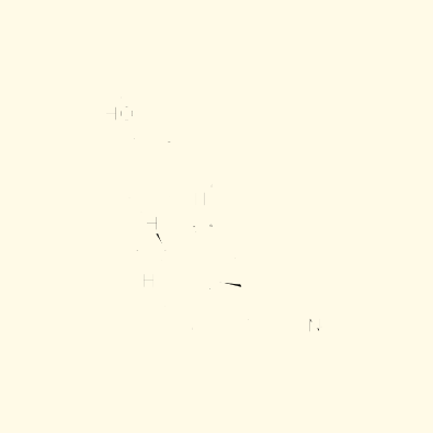 N#CCC[C@@]12CCC[C@H]1[C@@H]1CCc3cc(O)ccc3[C@H]1CC2